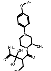 CCCOc1ccc(N2CCN(C(=O)C(CC(C)C)C(O)(O)C(N)=O)[C@H](C)C2)cc1